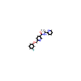 O=C(NC(c1ccccn1)C(F)(F)F)c1ccc(COc2cccc(F)c2)nc1